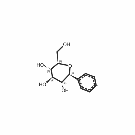 OC[C@H]1O[C@@H](c2cc[c]cc2)[C@H](O)[C@@H](O)[C@@H]1O